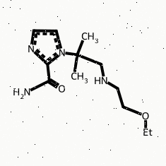 CCOCCNCC(C)(C)n1c[c]nc1C(N)=O